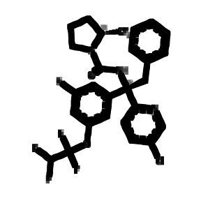 O=C(N[C@@](Cc1ccccc1)(c1cc(F)cc(OC(F)(F)C(F)F)c1)c1ccc(Cl)cn1)N1CCC[C@@H]1C(F)(F)F